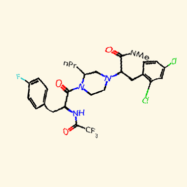 CCCC1CN(C(Cc2ccc(Cl)cc2Cl)C(=O)NC)CCN1C(=O)C(Cc1ccc(F)cc1)NC(=O)C(F)(F)F